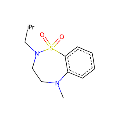 CC(C)CN1CCN(C)c2ccccc2S1(=O)=O